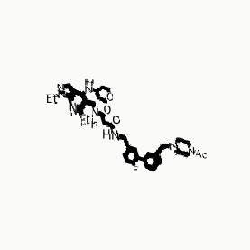 CCc1nc2c(cnn2CC)c(NC2CCOCC2)c1CNC(=O)CC(=O)NCc1ccc(F)c(-c2cccc(CN3CCN(C(C)=O)CC3)c2)c1